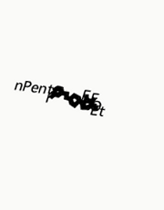 CCCCCc1ccc(CCC2CCC(c3ccc(OCC)c(F)c3F)CC2)cc1F